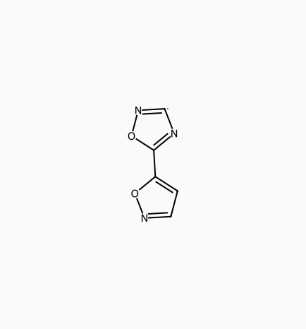 [c]1noc(-c2ccno2)n1